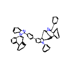 c1ccc(-c2nc3cc4c5cc(-c6ccc(-c7nc8ccccc8n7-c7cc8ccccc8c8ccccc78)cc6)ccc5n(-c5ccccc5)c4cc3c3ccccc23)cc1